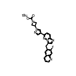 CC(C)(C)OC(=O)N1CC(n2cc(-c3ccc4ncc(Cc5cc6cccnc6cc5F)n4n3)cn2)C1